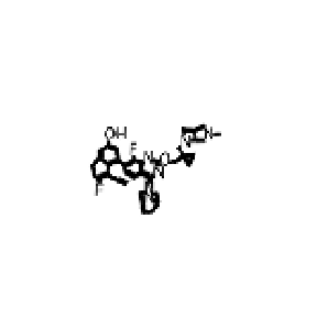 C#Cc1c(F)ccc2cc(O)cc(-c3ccc4c(N5CC6CCC(C5)N6)nc(OCC5(CN6CC7CN(C)CC76)CC5)nc4c3F)c12